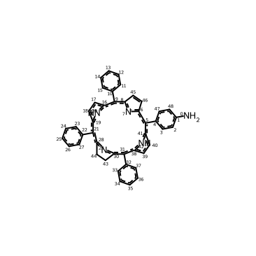 Nc1ccc(-c2c3nc(c(-c4ccccc4)c4ccc([nH]4)c(-c4ccccc4)c4nc(c(-c5ccccc5)c5ccc2[nH]5)CC4)C=C3)cc1